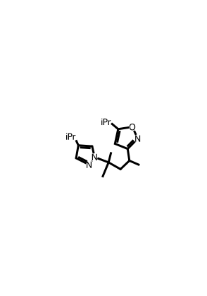 CC(C)c1cnn(C(C)(C)CC(C)c2cc(C(C)C)on2)c1